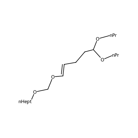 CCCCCCCOCOC=CCCC(OCCC)OCCC